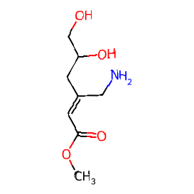 COC(=O)C=C(CN)CC(O)CO